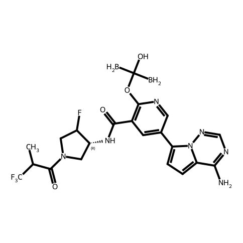 BC(B)(O)Oc1ncc(-c2ccc3c(N)ncnn23)cc1C(=O)N[C@@H]1CN(C(=O)C(C)C(F)(F)F)CC1F